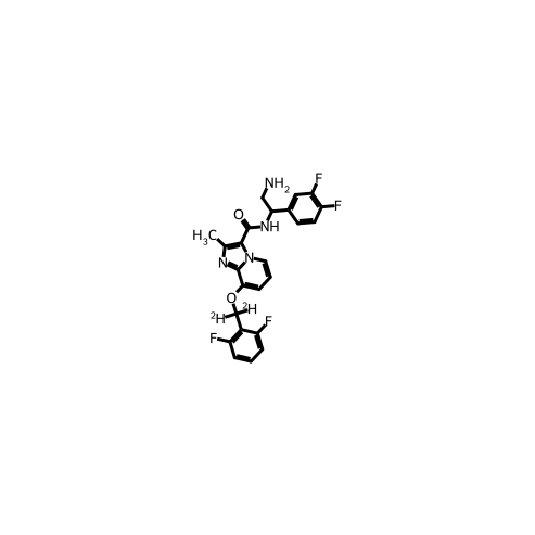 [2H]C([2H])(Oc1cccn2c(C(=O)NC(CN)c3ccc(F)c(F)c3)c(C)nc12)c1c(F)cccc1F